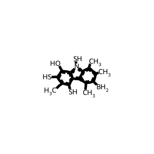 Bc1c(C)c(C)c2c(c1C)c1c(S)c(C)c(S)c(O)c1n2S